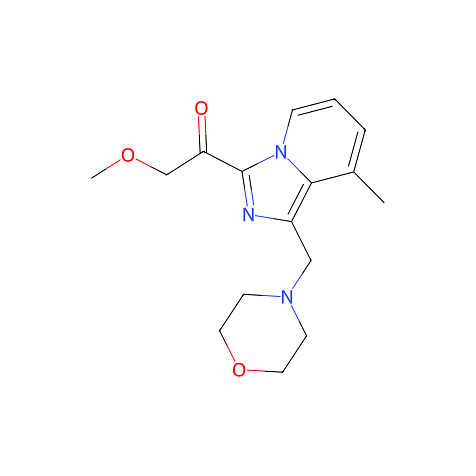 COCC(=O)c1nc(CN2CCOCC2)c2c(C)cccn12